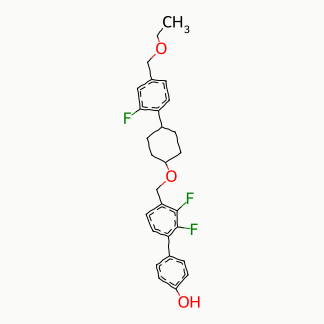 CCOCc1ccc(C2CCC(OCc3ccc(-c4ccc(O)cc4)c(F)c3F)CC2)c(F)c1